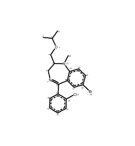 CC(C)OCC1CN=C(c2ccccc2Cl)c2cc(Br)ccc2N1C